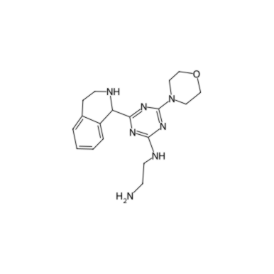 NCCNc1nc(C2NCCc3ccccc32)nc(N2CCOCC2)n1